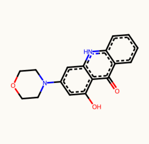 O=c1c2ccccc2[nH]c2cc(N3CCOCC3)cc(O)c12